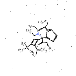 C=CC(=C)C1(C2=C(C(C)C)C(C(C)(C)C)=C2)c2ccccc2C(CC)=C(CC)N1CC